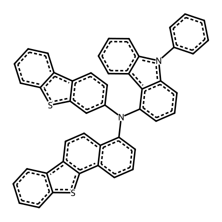 c1ccc(-n2c3ccccc3c3c(N(c4ccc5c(c4)sc4ccccc45)c4cccc5c4ccc4c6ccccc6sc54)cccc32)cc1